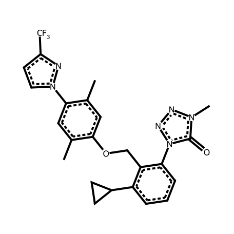 Cc1cc(-n2ccc(C(F)(F)F)n2)c(C)cc1OCc1c(C2CC2)cccc1-n1nnn(C)c1=O